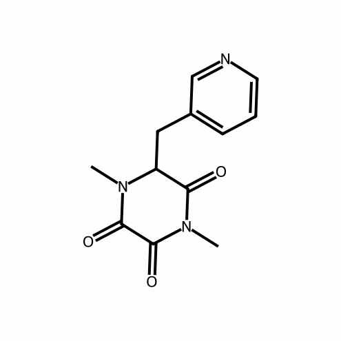 CN1C(=O)C(=O)N(C)C(Cc2cccnc2)C1=O